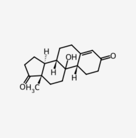 C[C@]12CCC3(O)[C@H]4CCC(=O)C=C4CC[C@H]3[C@@H]1CCC2=O